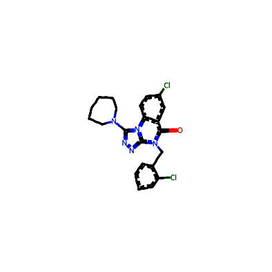 O=c1c2cc(Cl)ccc2n2c(N3CCCCCC3)nnc2n1Cc1ccccc1Cl